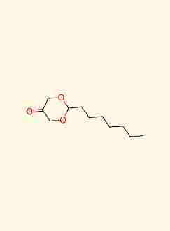 CCCCCCCC1OCC(=O)CO1